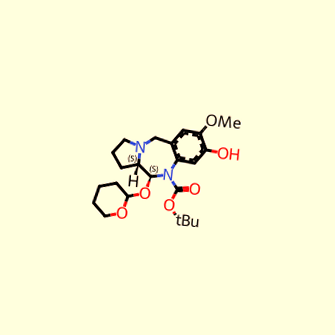 COc1cc2c(cc1O)N(C(=O)OC(C)(C)C)[C@@H](OC1CCCCO1)[C@@H]1CCCN1C2